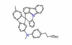 CCCCCCCCCCCCc1ccc(N(C)c2ccc3c(c2)C2(c4cc(C)ccc4-3)c3ccccc3-n3c4ccccc4c4cccc2c43)cc1